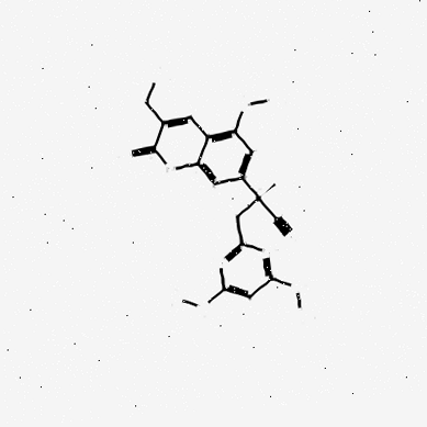 CCc1cc2c(OC)cc([C@](C)(C#N)Cc3nc(OC)cc(OC)n3)cc2[nH]c1=O